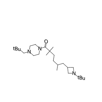 CC(CCC(C)(C)C(=O)N1CCN(CC(C)(C)C)CC1)CC1CN(C(C)(C)C)C1